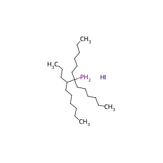 CCCCCCC(CCC)C(P)(CCCCCC)CCCCCC.I